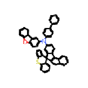 c1ccc(-c2ccc(N(c3ccc4c(c3)C3(c5ccccc5Sc5ccccc53)c3ccc5ccccc5c3-4)c3ccc4oc5ccccc5c4c3)cc2)cc1